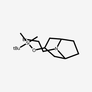 CC(C)(C)[Si](C)(C)OC1CC2CCC(C1)N2CCBr